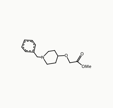 COC(=O)COC1CCN(Cc2ccccc2)CC1